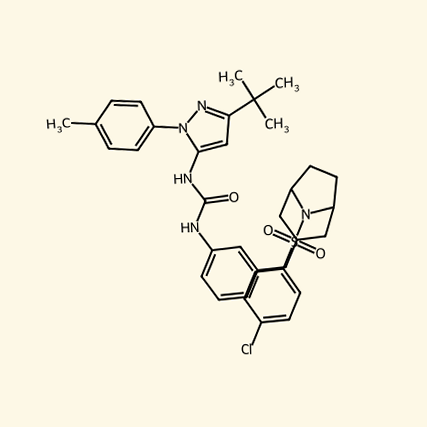 Cc1ccc(-n2nc(C(C)(C)C)cc2NC(=O)Nc2cccc(CC3CC4CCC(C3)N4S(=O)(=O)c3ccc(Cl)cc3)c2)cc1